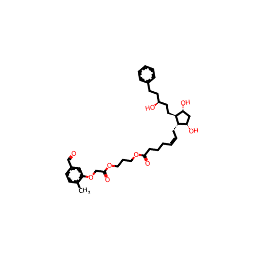 Cc1ccc(C=O)cc1OCC(=O)OCCCOC(=O)CCC/C=C\C[C@@H]1[C@@H](CC[C@@H](O)CCc2ccccc2)[C@H](O)C[C@@H]1O